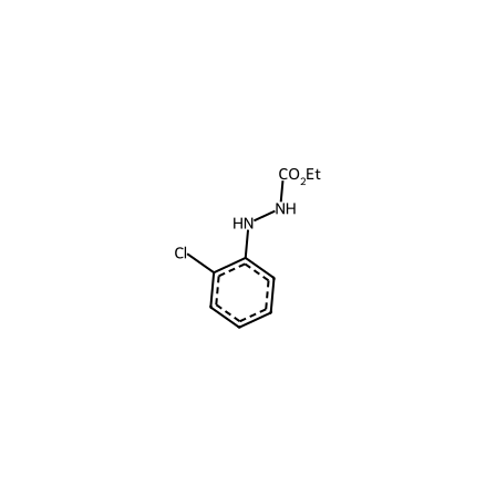 CCOC(=O)NNc1ccccc1Cl